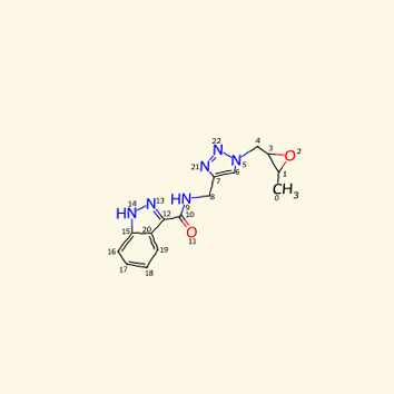 CC1OC1Cn1cc(CNC(=O)c2n[nH]c3ccccc23)nn1